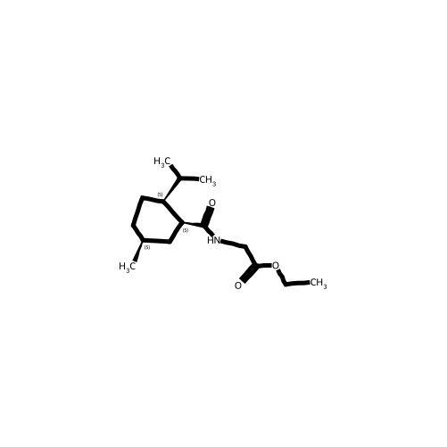 CCOC(=O)CNC(=O)[C@H]1C[C@@H](C)CC[C@H]1C(C)C